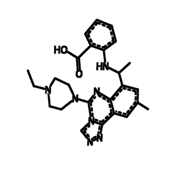 CCN1CCN(c2nc3c(C(C)Nc4ccccc4C(=O)O)cc(C)cc3c3nncn23)CC1